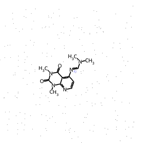 CN(C)/C=N/c1ccnc2c1c(=O)n(C)c(=O)n2C